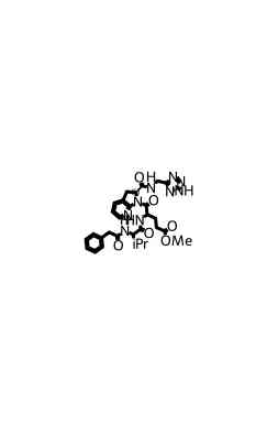 COC(=O)CCC(NC(=O)C(NC(=O)Cc1ccccc1)C(C)C)C(=O)N1c2ncccc2C[C@H]1C(=O)NCc1nn[nH]n1